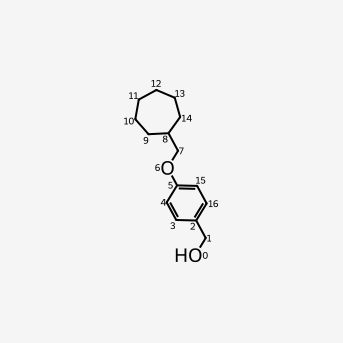 OCc1ccc(OCC2CCCCCC2)cc1